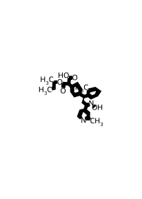 CCC(C)OC(=O)C(C(=O)O)c1ccc([C@H](CC(=NO)c2ccnc(C)c2)c2ccccc2C)cc1